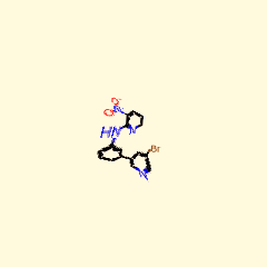 O=[N+]([O-])c1cccnc1Nc1cccc(-c2cncc(Br)c2)c1